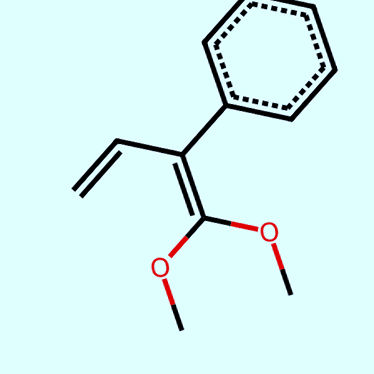 C=CC(=C(OC)OC)c1ccccc1